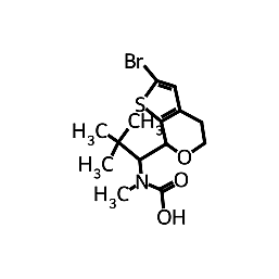 CN(C(=O)O)C(C1OCCc2cc(Br)sc21)C(C)(C)C